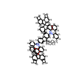 CCCCCCCCC1(CCCCCCCC)c2cc(N(c3ccccc3-c3ccccc3)c3cccc4c3-c3ccccc3C4(C3=CC=C4CCC4C3)c3ccc4c(c3)CC4)ccc2-c2ccc(N(c3ccccc3-c3ccccc3)c3cccc4c3-c3ccccc3C4(c3ccc4c(c3)CC4)c3ccc4c(c3)CC4)cc21